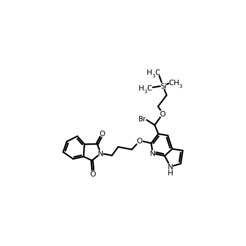 C[Si](C)(C)CCOC(Br)c1cc2cc[nH]c2nc1OCCCN1C(=O)c2ccccc2C1=O